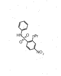 CCCc1cc([N+](=O)[O-])ccc1S(=O)(=O)Nc1ccccc1